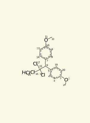 COc1ccc(C(c2ccc(OC)cc2)C(Cl)(Cl)Cl)cc1.Cl